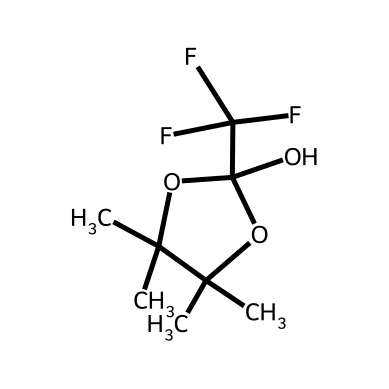 CC1(C)OC(O)(C(F)(F)F)OC1(C)C